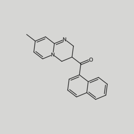 CC1=CC2=NCC(C(=O)c3cccc4ccccc34)CN2C=C1